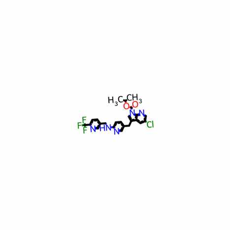 CC(C)OC(=O)n1cc(Cc2ccc(NCc3ccc(C(F)(F)F)nc3)nc2)c2cc(Cl)cnc21